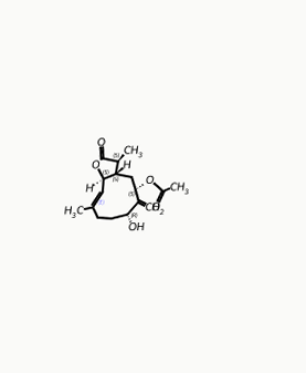 C=C1[C@H](O)CC/C(C)=C/[C@H]2OC(=O)[C@@H](C)[C@@H]2C[C@@H]1OC(C)=O